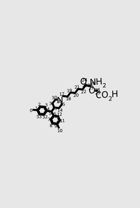 Cc1ccc(C(c2ccc(C)cc2)C2CCN(CCCCCCC(=O)C(N)OCC(=O)O)CC2)cc1